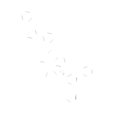 C1=CCC(c2cc(-c3ccccc3)cc(-n3c4c(c5c6c(ccc53)CC(c3cccc(C5=CC(c7ccccc7)CC=C5)c3)=C3CCC=CC36)C=CCC4)c2)C=C1